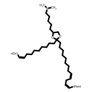 CCCCC/C=C\C/C=C\CCCCCCCCC1(CCCCCCCC/C=C\CCCCCCCC)OCC(CCCCCN(C)C)O1